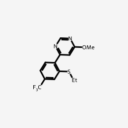 CCSc1cc(C(F)(F)F)ccc1-c1cc(OC)ncn1